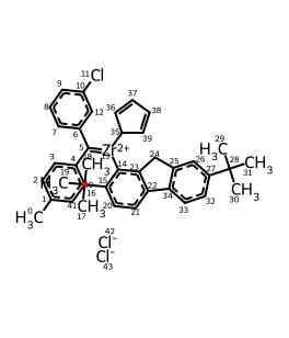 Cc1ccc([C](c2cccc(Cl)c2)=[Zr+2]([c]2c(C(C)(C)C)ccc3c2Cc2cc(C(C)(C)C)ccc2-3)[CH]2C=CC=C2)cc1.[Cl-].[Cl-]